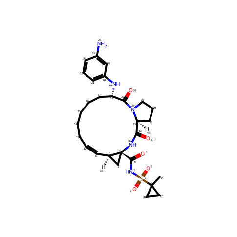 CC1(S(=O)(=O)NC(=O)[C@@]23C[C@H]2/C=C\CCCCC[C@H](Nc2cccc(N)c2)C(=O)N2CCC[C@H]2C(=O)N3)CC1